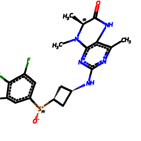 Cc1nc(N[C@H]2C[C@@H]([S@+]([O-])c3cc(F)c(F)c(F)c3)C2)nc2c1NC(=O)[C@H](C)N2C